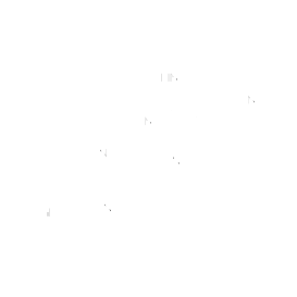 CCCCC1CNC(c2ncc3c(C#N)c[nH]c3n2)CN1